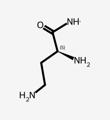 [NH]C(=O)[C@@H](N)CCN